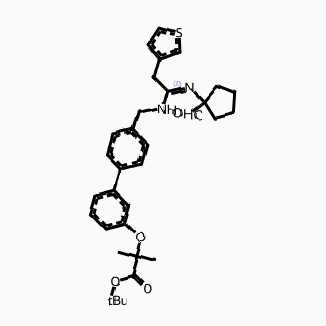 CC(C)(C)OC(=O)C(C)(C)Oc1cccc(-c2ccc(CN/C(Cc3ccsc3)=N\C3(C=O)CCCC3)cc2)c1